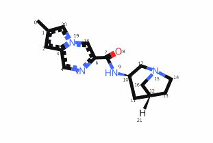 Cc1cc2cnc(C(=O)N[C@@H]3C[C@H]4CCN(C4)C3)cn2c1